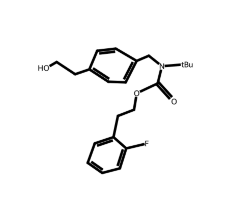 CC(C)(C)N(Cc1ccc(CCO)cc1)C(=O)OCCc1ccccc1F